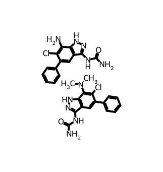 CN(C)c1c(Cl)c(-c2ccccc2)cc2c(NC(N)=O)n[nH]c12.NC(=O)Nc1n[nH]c2c(N)c(Cl)c(-c3ccccc3)cc12